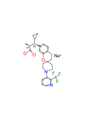 C[C@H](C(=O)[O-])[C@H](c1ccc2c(c1)OC1(CC2)CCN(c2cccnc2C(F)(F)F)CC1)C1CC1.[Na+]